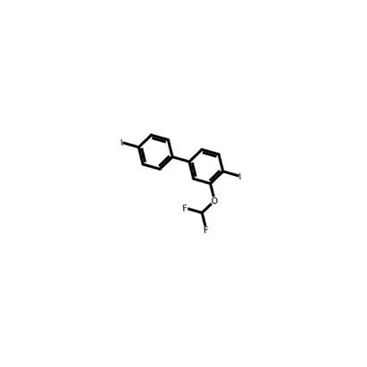 FC(F)Oc1cc(-c2ccc(I)cc2)ccc1I